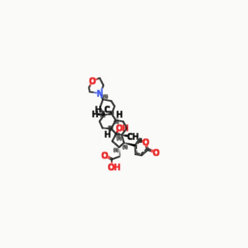 C[C@]12CC[C@H](N3CCOCC3)C[C@H]1CC[C@@H]1[C@@H]2CC[C@]2(C)[C@@H](c3ccc(=O)oc3)[C@H](CC(=O)O)C[C@]12O